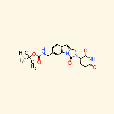 CC(C)(C)OC(=O)NCc1ccc2cc3n(c2c1)C(=O)N(C1CCC(=O)NC1=O)C3